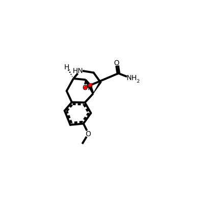 COc1ccc2c(c1)[C@]13CCN[C@H](C2)[C@]1(O)CC(C(N)=O)C3